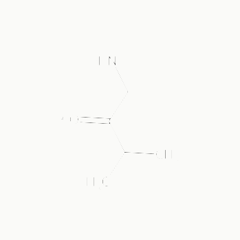 CC(C)C(=O)C[NH]